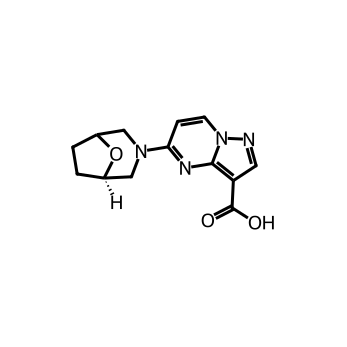 O=C(O)c1cnn2ccc(N3CC4CC[C@H](C3)O4)nc12